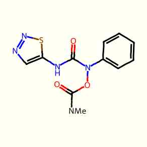 CNC(=O)ON(C(=O)Nc1cnns1)c1ccccc1